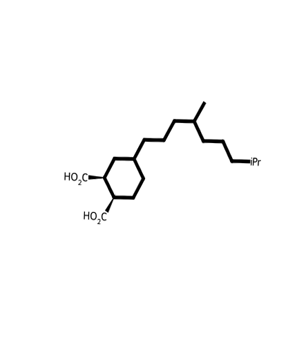 CC(C)CCCC(C)CCCC1CC[C@@H](C(=O)O)[C@@H](C(=O)O)C1